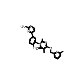 Cc1cccc(COc2nc(C)n(-c3cc(-c4ccnc(C(C)(C)C)n4)ccc3Cl)c(=O)c2C)n1